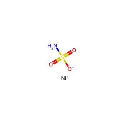 NS(=O)(=O)[O-].[Ni+]